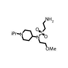 COCCN(C1CCN(C(C)C)CC1)S(=O)(=O)CCN